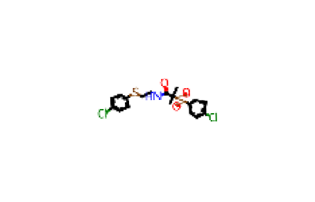 CC(C)(C(=O)NCCSc1ccc(Cl)cc1)S(=O)(=O)c1ccc(Cl)cc1